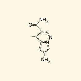 Cc1c(C(N)=O)cnn2cc(N)cc12